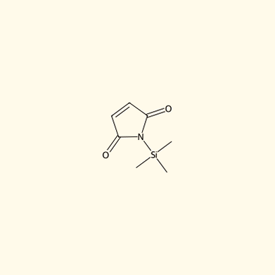 C[Si](C)(C)N1C(=O)C=CC1=O